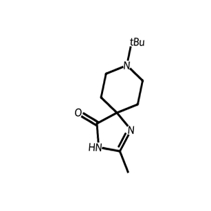 CC1=NC2(CCN(C(C)(C)C)CC2)C(=O)N1